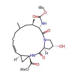 COC(=O)[C@@]12C[C@H]1/C=C\CCC(C)C[C@@H](C)[C@H](NC(=O)OC(C)(C)C)C(=O)N1C[C@H](O)C[C@H]1C(=O)N2